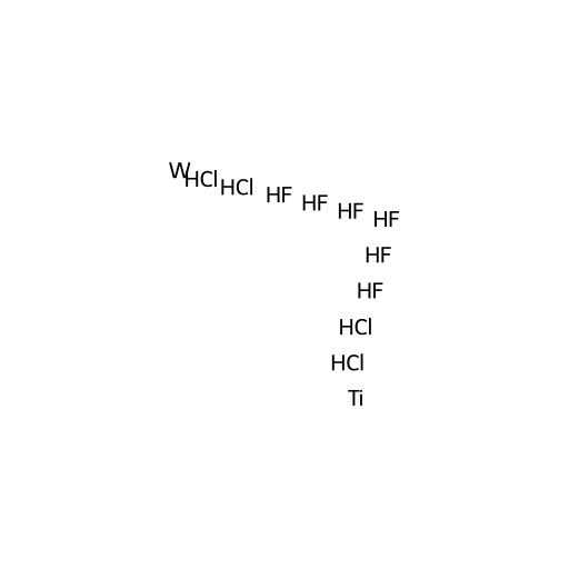 Cl.Cl.Cl.Cl.F.F.F.F.F.F.[Ti].[W]